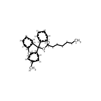 CCCCCCC(=O)OC(c1ccccc1)(c1ccc(C)cc1)c1ccccc1Cl